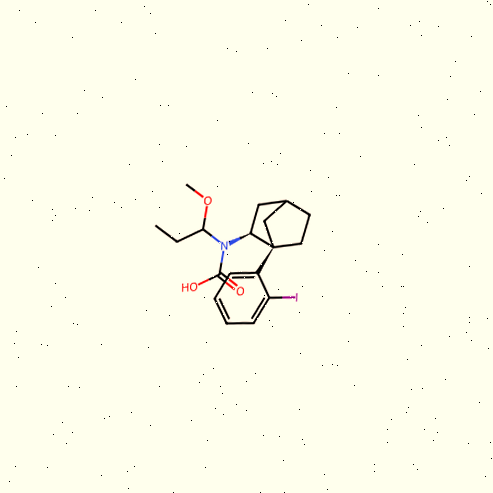 CCC(OC)N(C(=O)O)[C@H]1CC2CC[C@@]1(c1ccccc1I)C2